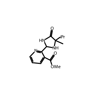 COC(=O)c1cccnc1C1NC(=O)C(C)(C(C)C)N1